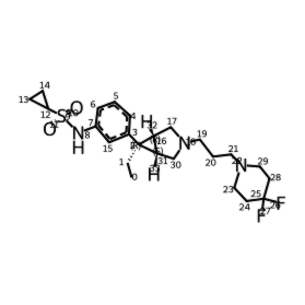 CC[C@]1(c2cccc(NS(=O)(=O)C3CC3)c2)[C@@H]2CN(CCCN3CCC(F)(F)CC3)C[C@@H]21